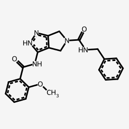 COc1ccccc1C(=O)Nc1[nH]nc2c1CN(C(=O)NCc1ccccc1)C2